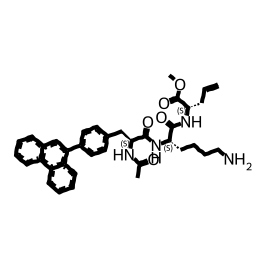 C=CC[C@H](NC(=O)[C@H](CCCCN)NC(=O)[C@H](Cc1ccc(-c2cc3ccccc3c3ccccc23)cc1)NC(C)=O)C(=O)OC